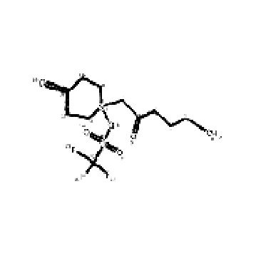 CCCCC(=O)CS1(OS(=O)(=O)C(F)(F)F)CCC(=O)CC1